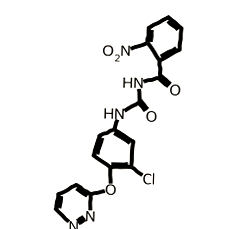 O=C(NC(=O)c1ccccc1[N+](=O)[O-])Nc1ccc(Oc2cccnn2)c(Cl)c1